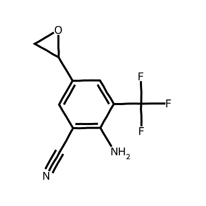 N#Cc1cc(C2CO2)cc(C(F)(F)F)c1N